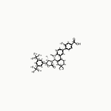 COc1ncc(-c2ccc(C(=O)O)cc2F)cc1C1=C(CN2C(=O)OC(c3cc(C(F)(F)F)cc(C(F)(F)F)c3)[C@@H]2C)CC(C)(C)CC1